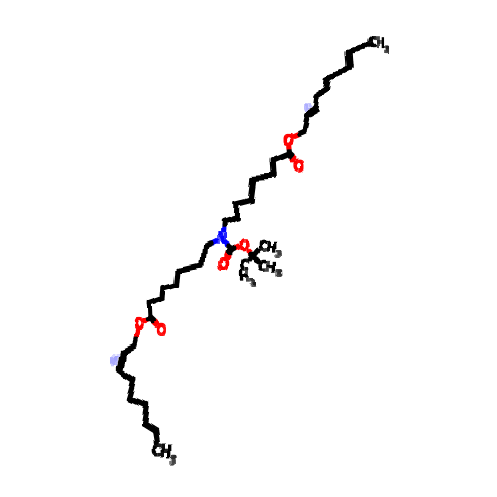 CCCCCC/C=C\COC(=O)CCCCCCCN(CCCCCCCC(=O)OC/C=C/CCCCCC)C(=O)OC(C)(C)C